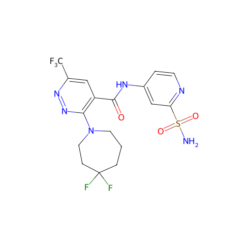 NS(=O)(=O)c1cc(NC(=O)c2cc(C(F)(F)F)nnc2N2CCCC(F)(F)CC2)ccn1